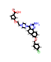 Nc1nc2c(c(N3CCN(CCOC4CCC(C(=O)O)C4)CC3)n1)CCc1cc(OCc3ccc(Cl)cc3)ccc1-2